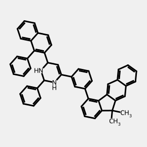 CC1(C)c2cc3ccccc3cc2-c2c(-c3cccc(C4=CC(c5ccc6ccccc6c5-c5ccccc5)NC(c5ccccc5)N4)c3)cccc21